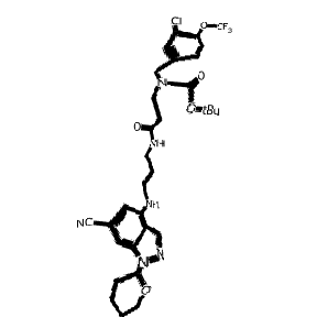 CC(C)(C)OC(=O)N(CCC(=O)NCCCNc1cc(C#N)cc2c1cnn2C1CCCCO1)Cc1ccc(OC(F)(F)F)c(Cl)c1